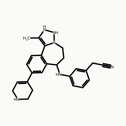 CC1=C2c3ccc(C4=CCNCC4)cc3C(Nc3cccc(CC#N)c3)CCN2NN1